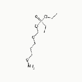 CCOP(=O)(CC)OCOCCCON